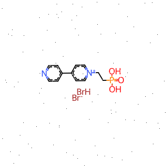 Br.O=P(O)(O)CC[n+]1ccc(-c2ccncc2)cc1.[Br-]